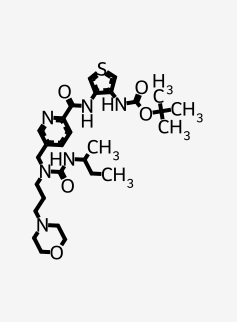 CCC(C)NC(=O)N(CCCN1CCOCC1)Cc1ccc(C(=O)Nc2cscc2NC(=O)OC(C)(C)C)nc1